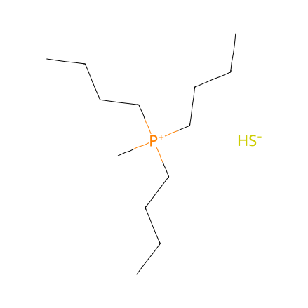 CCCC[P+](C)(CCCC)CCCC.[SH-]